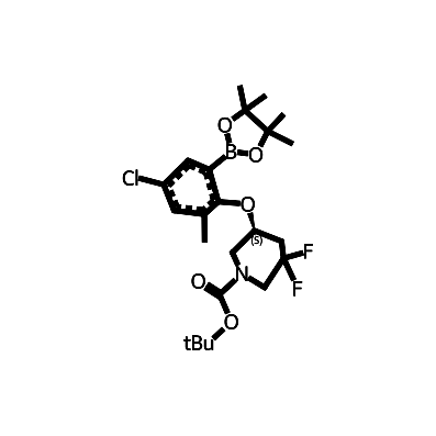 Cc1cc(Cl)cc(B2OC(C)(C)C(C)(C)O2)c1O[C@@H]1CN(C(=O)OC(C)(C)C)CC(F)(F)C1